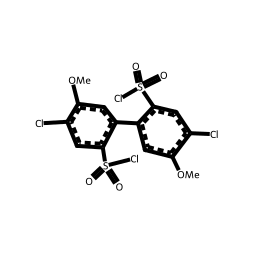 COc1cc(-c2cc(OC)c(Cl)cc2S(=O)(=O)Cl)c(S(=O)(=O)Cl)cc1Cl